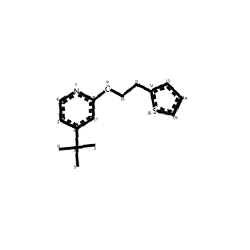 CC(C)(C)c1ccnc(OCCc2cccs2)c1